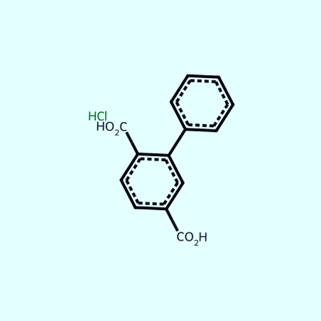 Cl.O=C(O)c1ccc(C(=O)O)c(-c2ccccc2)c1